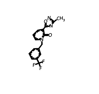 Cc1noc(-c2cccn(Cc3cccc(C(F)(F)F)c3)c2=O)n1